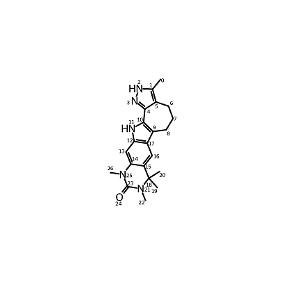 Cc1[nH]nc2c1CCCc1c-2[nH]c2cc3c(cc12)C(C)(C)N(C)C(=O)N3C